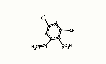 C=Cc1cc(Cl)cc(Cl)c1C(=O)O